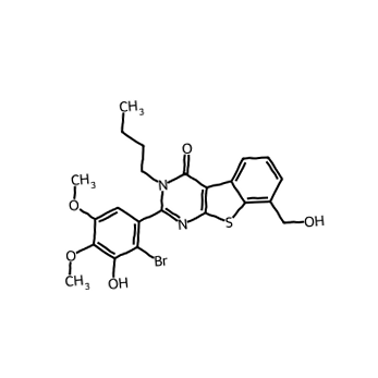 CCCCn1c(-c2cc(OC)c(OC)c(O)c2Br)nc2sc3c(CO)cccc3c2c1=O